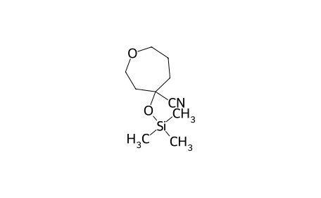 C[Si](C)(C)OC1(C#N)CCCOCC1